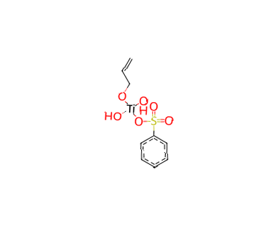 C=CC[O][Ti]([OH])([OH])[O]S(=O)(=O)c1ccccc1